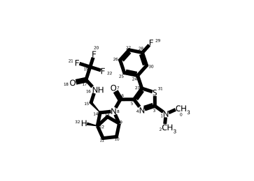 CN(C)c1nc(C(=O)N2C3CC[C@@H](C3)[C@H]2CNC(=O)C(F)(F)F)c(-c2cccc(F)c2)s1